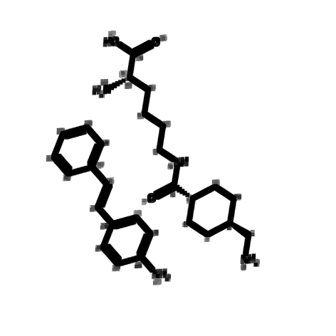 NC[C@H]1CC[C@H](C(=O)NCCCC[C@H](N)C(=O)O)CC1.Nc1ccc(C=Cc2ccccc2)cc1